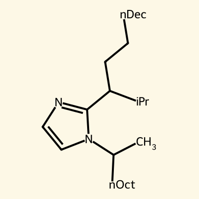 CCCCCCCCCCCCC(c1nccn1C(C)CCCCCCCC)C(C)C